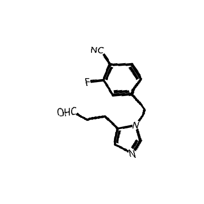 N#Cc1ccc(Cn2cncc2CCC=O)cc1F